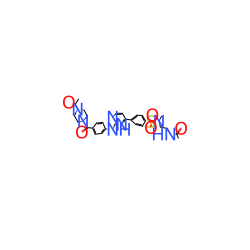 CC(=O)NCCN(C)S(=O)(=O)c1ccc(-c2ccnc(Nc3ccc(C(=O)N4CCN(C(C)=O)CC4)cc3)n2)cc1